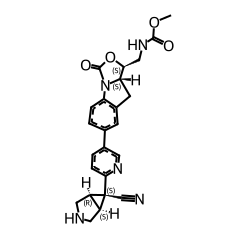 COC(=O)NC[C@@H]1OC(=O)N2c3ccc(-c4ccc([C@@]5(C#N)[C@@H]6CNC[C@@H]65)nc4)cc3C[C@@H]12